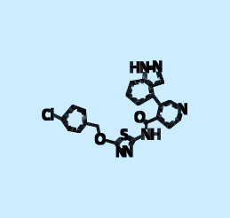 O=C(Nc1nnc(OCc2ccc(Cl)cc2)s1)c1ccncc1-c1cccc2[nH]ncc12